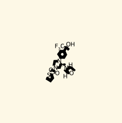 C[C@@](O)(c1ccc(N2CCN(S(=O)(=O)c3cccs3)C[C@@H]2CN2C[C@H]3C[C@@H]2CO3)cc1)C(F)(F)F